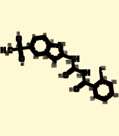 CS(=O)(=O)c1ccc2nc(NC(=O)NC(=O)c3ccccc3I)sc2c1